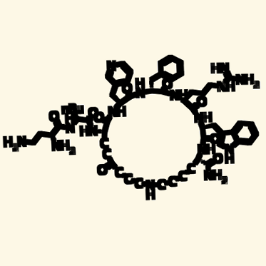 CCCC[C@H](NC(=O)[C@@H](N)CCN)C(=O)N[C@H]1CCC(=O)CCCNCCCC[C@@H](C(N)=O)NC(=O)[C@H](Cc2c[nH]c3ccccc23)NC(=O)[C@H](CCCNC(=N)N)NC(=O)[C@@H](Cc2ccccc2)NC(=O)[C@H](Cc2cccnc2)NC1=O